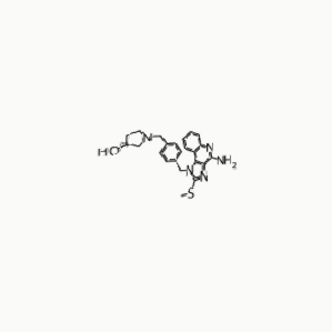 CSc1nc2c(N)nc3ccccc3c2n1Cc1ccc(CN2CC[C@H](O)C2)cc1